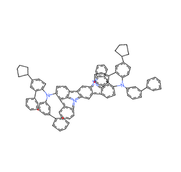 c1ccc(-c2cccc(N(c3ccc(C4CCCC4)cc3-c3ccccc3)c3ccc4c5cc6c(cc5n5c7ccccc7c3c45)c3ccc(N(c4cccc(-c5ccccc5)c4)c4ccc(C5CCCC5)cc4-c4ccccc4)c4c5ccccc5n6c34)c2)cc1